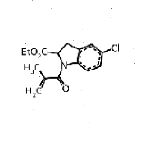 C=C(C)C(=O)N1c2ccc(Cl)cc2CC1C(=O)OCC